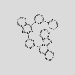 C1=CCCC(c2cccc(-c3nc(-c4cccc(-c5nc6ccccc6c6nc7ccccn7c56)c4)nc4ccccc34)c2)=C1